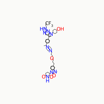 CC(c1ccc(-c2cn([C@H]3CC[C@H](O)CC3)c3nc(NCCC(F)(F)F)ncc23)cc1)N1CCN(CCCOCCCc2ccc3c(c2)n(C)c(=O)n3C2CCC(=O)NC2=O)CC1